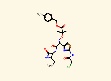 CC(=O)NCC1NC(=O)C1NC(=O)C(=NOC(C)(C)C(=O)OCc1ccc([N+](=O)[O-])cc1)c1csc(NC(=O)CCl)n1